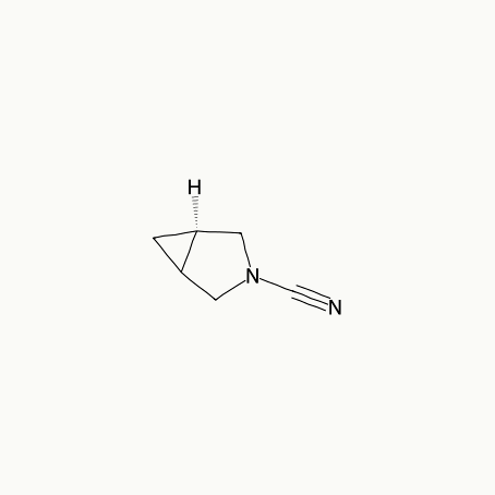 N#CN1CC2C[C@H]2C1